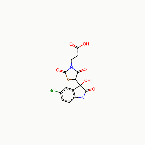 O=C(O)CCN1C(=O)SC(C2(O)C(=O)Nc3ccc(Br)cc32)C1=O